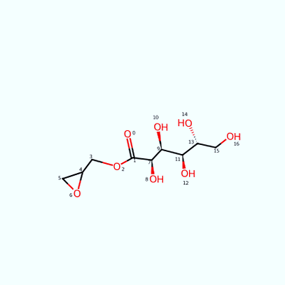 O=C(OCC1CO1)[C@H](O)[C@@H](O)[C@H](O)[C@H](O)CO